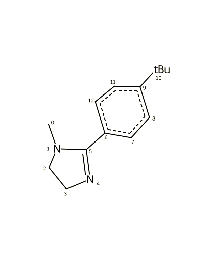 CN1CCN=C1c1ccc(C(C)(C)C)cc1